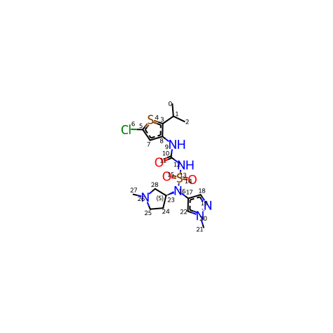 CC(C)c1sc(Cl)cc1NC(=O)NS(=O)(=O)N(c1cnn(C)c1)[C@H]1CCN(C)C1